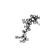 CCC(CO)OC(COC(=O)CCC(=O)NCC(=O)O[C@@H]1C2=C(C)C3(CC3)[C@@](C)(O)C(=O)C2=CC1(C)C)OC